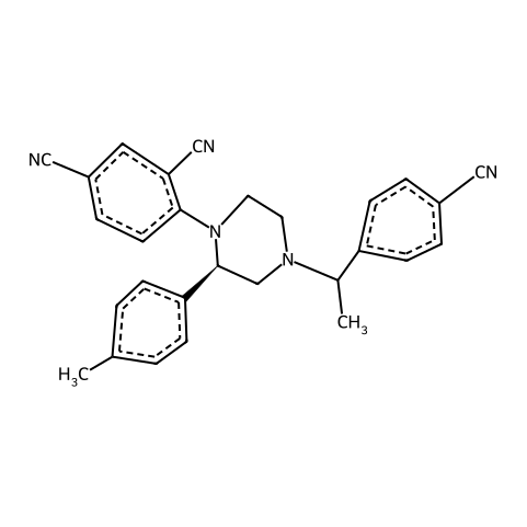 Cc1ccc([C@@H]2CN(C(C)c3ccc(C#N)cc3)CCN2c2ccc(C#N)cc2C#N)cc1